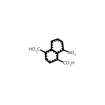 O=C(O)c1ccc(C(=O)O)c2c([N+](=O)[O-])cccc12